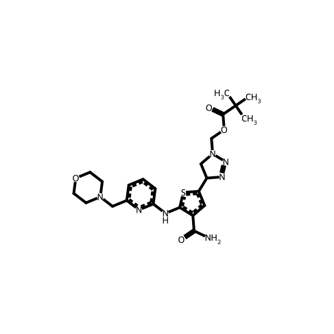 CC(C)(C)C(=O)OCN1CC(c2cc(C(N)=O)c(Nc3cccc(CN4CCOCC4)n3)s2)N=N1